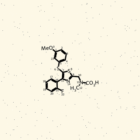 COc1cccc(Sc2sc(CN(C)C(=O)O)nc2-c2ccccc2F)c1